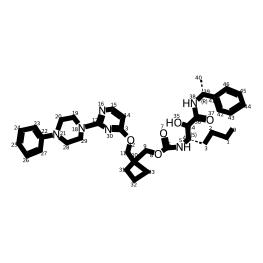 CCCC[C@H](NC(=O)OCC1(COc2ccnc(N3CCN(c4ccccc4)CC3)n2)CCC1)C(O)C(=O)N[C@H](C)c1ccccc1